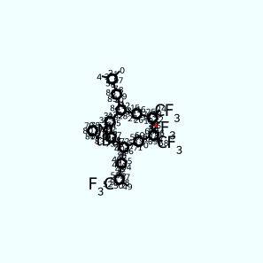 Cc1cc(C)cc(-c2ccc(-c3cc(-c4ccc(-c5cc(C)cc(C(F)(F)F)c5)cc4)cc(-c4ccc5c(c4)c4cc(-c6cc(-c7ccc(-c8cc(C)cc(C(F)(F)F)c8)cc7)cc(-c7ccc(-c8cc(C(F)(F)F)cc(C(F)(F)F)c8)cc7)c6)ccc4n5-c4ccccc4C(C)(C)C)c3)cc2)c1